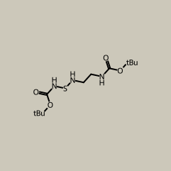 CC(C)(C)OC(=O)NCCNSNC(=O)OC(C)(C)C